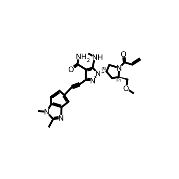 C=CC(=O)N1C[C@@H](n2nc(C#Cc3ccc4c(c3)nc(C)n4C)c(C(N)=O)c2NC)C[C@@H]1COC